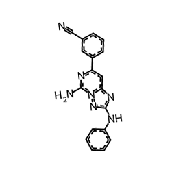 N#Cc1cccc(-c2cc3nc(Nc4ccccc4)nn3c(N)n2)c1